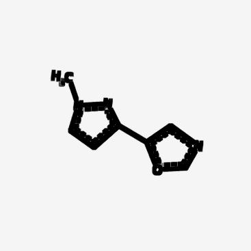 Cn1ccc(-c2cnco2)n1